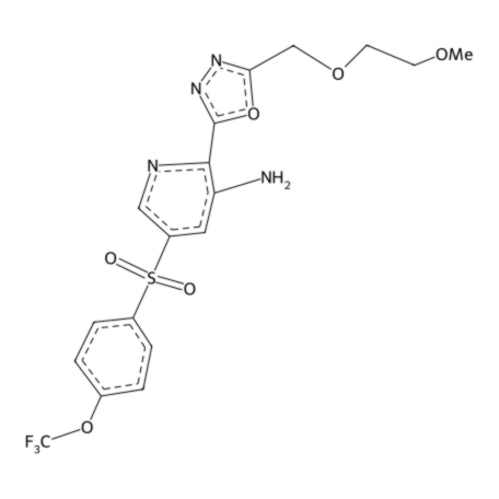 COCCOCc1nnc(-c2ncc(S(=O)(=O)c3ccc(OC(F)(F)F)cc3)cc2N)o1